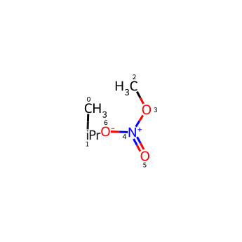 CC(C)C.CO[N+](=O)[O-]